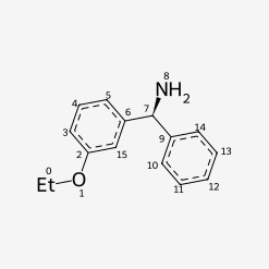 CCOc1cccc([C@@H](N)c2ccccc2)c1